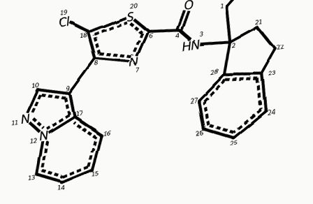 NCC1(NC(=O)c2nc(-c3cnn4ccccc34)c(Cl)s2)CCc2ccccc21